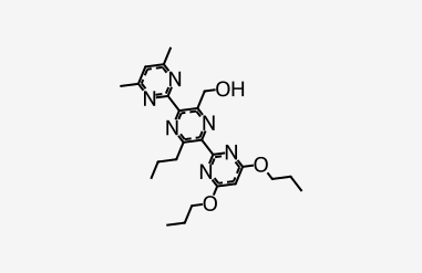 CCCOc1cc(OCCC)nc(-c2nc(CO)c(-c3nc(C)cc(C)n3)nc2CCC)n1